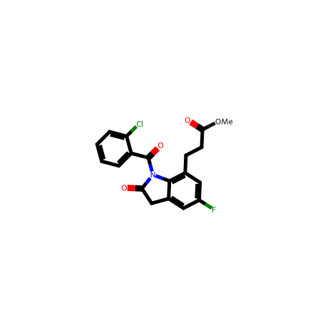 COC(=O)CCc1cc(F)cc2c1N(C(=O)c1ccccc1Cl)C(=O)C2